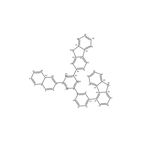 C1=CC2C=CC(c3nc(-c4cccc(-c5cccc6oc7ccccc7c56)c4)nc(-c4ccc5c(c4)sc4ccccc45)n3)=CC2C=C1